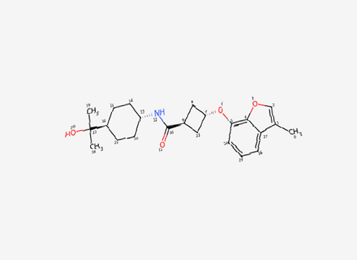 Cc1coc2c(O[C@H]3C[C@H](C(=O)N[C@H]4CC[C@H](C(C)(C)O)CC4)C3)cccc12